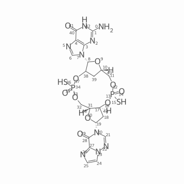 Nc1nc2c(ncn2[C@@H]2O[C@@H]3COP(=O)(S)O[C@H]4C[C@H](n5cnn6ccnc6c5=O)O[C@@H]4COP(=O)(S)OC2C3)c(=O)[nH]1